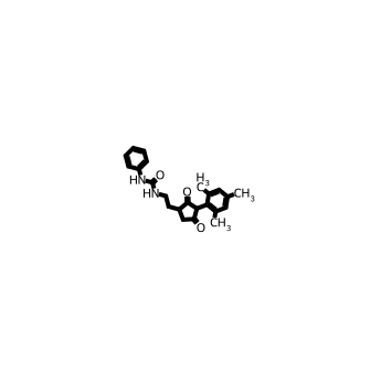 Cc1cc(C)c(C2C(=O)CC(CCNC(=O)Nc3ccccc3)C2=O)c(C)c1